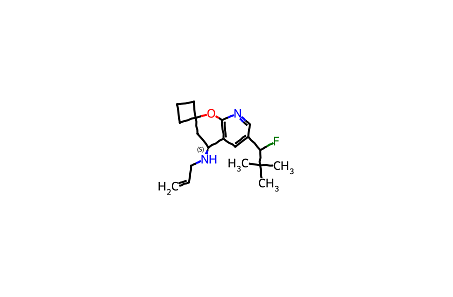 C=CCN[C@H]1CC2(CCC2)Oc2ncc(C(F)C(C)(C)C)cc21